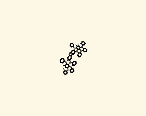 Cc1c2c3c4c5c1N(c1ccccc1)c1cc6sc7cc8c(cc7c6cc1B5c1ccccc1N4c1ccccc1B3c1ccccc1O2)B1c2ccccc2N2c3ccccc3B3c4ccccc4Oc4c(C)c(c1c2c43)N8c1ccccc1